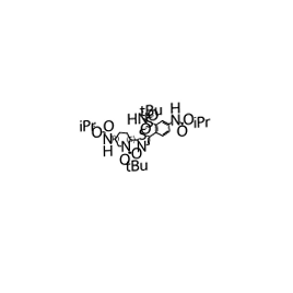 CC(C)OC(=O)Nc1ccc(-c2cnc([C@@H]3CC[C@@H](NC(=O)OC(C)C)CN3C(=O)OC(C)(C)C)s2)c(S(=O)(=O)NC(C)(C)C)c1